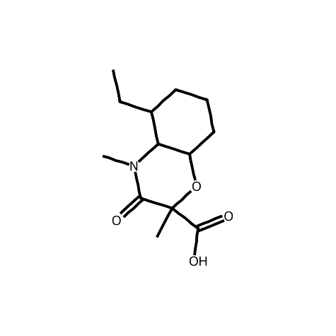 CCC1CCCC2OC(C)(C(=O)O)C(=O)N(C)C12